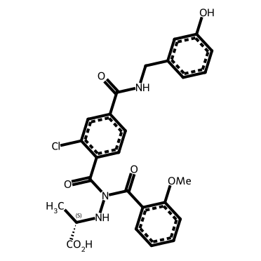 COc1ccccc1C(=O)N(N[C@@H](C)C(=O)O)C(=O)c1ccc(C(=O)NCc2cccc(O)c2)cc1Cl